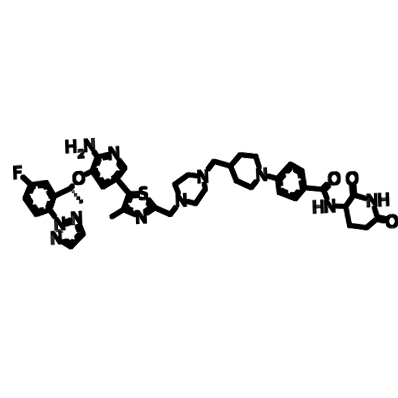 Cc1nc(CN2CCN(CC3CCN(c4ccc(C(=O)NC5CCC(=O)NC5=O)cc4)CC3)CC2)sc1-c1cnc(N)c(O[C@H](C)c2cc(F)ccc2-n2nccn2)c1